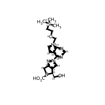 C[Si](C)(C)CCOCn1ccc2c(-n3cc4c(n3)CN(C(=O)O)[C@@H]4CO)ncnc21